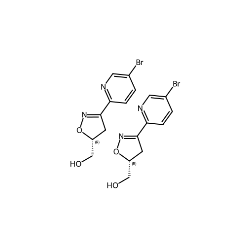 OC[C@H]1CC(c2ccc(Br)cn2)=NO1.OC[C@H]1CC(c2ccc(Br)cn2)=NO1